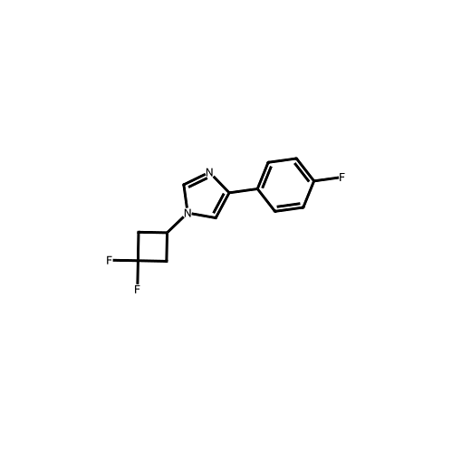 Fc1ccc(-c2cn(C3CC(F)(F)C3)cn2)cc1